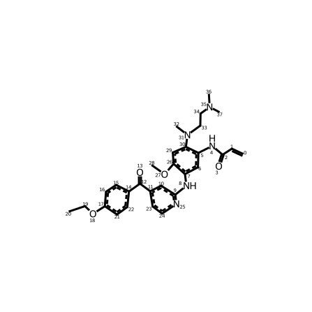 C=CC(=O)Nc1cc(Nc2cc(C(=O)c3ccc(OCC)cc3)ccn2)c(OC)cc1N(C)CCN(C)C